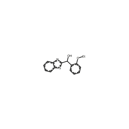 CCOc1ccccc1C(O)c1nc2ccccc2s1